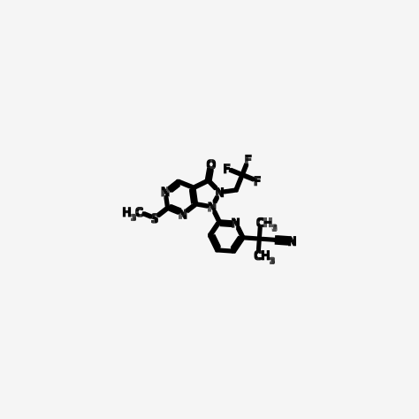 CSc1ncc2c(=O)n(CC(F)(F)F)n(-c3cccc(C(C)(C)C#N)n3)c2n1